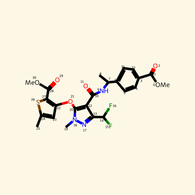 COC(=O)c1ccc(C(C)NC(=O)c2c(C(F)F)nn(C)c2Oc2cc(C)sc2C(=O)OC)cc1